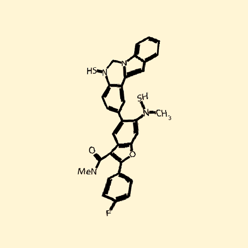 CNC(=O)c1c(-c2ccc(F)cc2)oc2cc(N(C)S)c(-c3ccc4c(c3)-c3cc5ccccc5n3CN4S)cc12